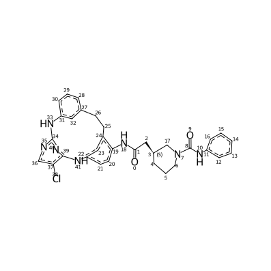 O=C(C[C@@H]1CCCN(C(=O)Nc2ccccc2)C1)Nc1ccc2cc1CCc1cccc(c1)Nc1ncc(Cl)c(n1)N2